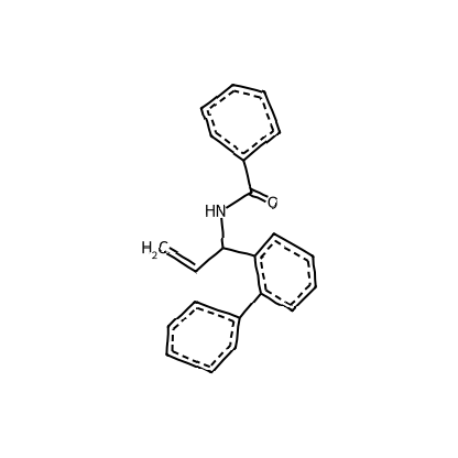 C=CC(NC(=O)c1ccccc1)c1ccccc1-c1ccccc1